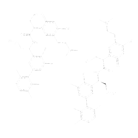 CCOC(=O)C[C@H](NC(=O)C(CC(C)C)n1cc(CCN(C)C)c(C(F)(F)F)cc1=O)c1cc(-c2c(C)ccc(C)c2C)cc(C)c1F.Cc1ccc(C)c(-c2cc(C)c(F)c([C@H](CC(=O)O)NC(=O)C(CC(C)C)n3cc(CCN(C)C)c(C(F)(F)F)cc3=O)c2)c1C